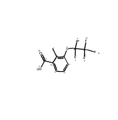 Cc1c(OC(F)(Br)C(F)(F)F)cccc1C(=O)O